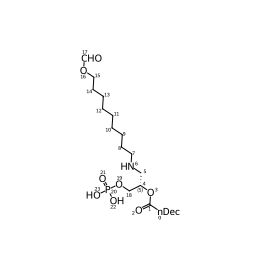 CCCCCCCCCCC(=O)O[C@@H](CNCCCCCCCCCOC=O)COP(=O)(O)O